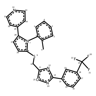 Cc1ccccc1-n1c(SCc2nc(-c3cccc(C(F)(F)F)c3)no2)ccc1-c1ccncc1